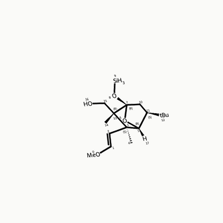 COC=C[C@]1(C)[C@@H]2O[C@@](O[SiH3])(C[C@H]2C(C)(C)C)[C@@]1(C)CO